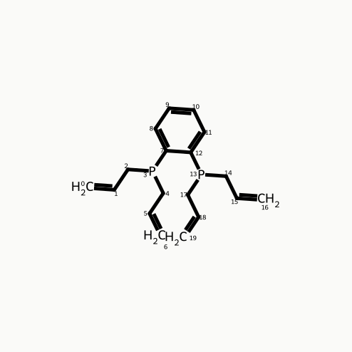 C=CCP(CC=C)c1ccccc1P(CC=C)CC=C